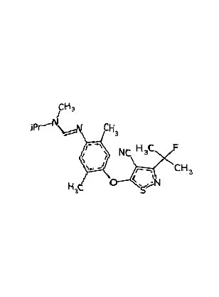 Cc1cc(Oc2snc(C(C)(C)F)c2C#N)c(C)cc1N=CN(C)C(C)C